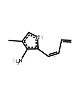 C=C/C=C\c1[nH]cc(C)c1N